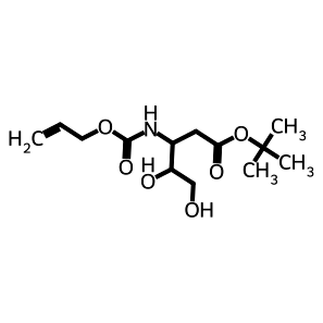 C=CCOC(=O)NC(CC(=O)OC(C)(C)C)C(O)CO